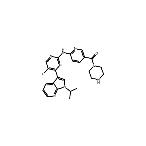 CC(C)n1cc(-c2nc(Nc3ccc(C(=O)N4CCNCC4)cn3)ncc2F)c2cccnc21